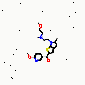 COCCN(C)CCn1c(C)cc2cc(C(=O)c3ccc(OC)nc3)sc21